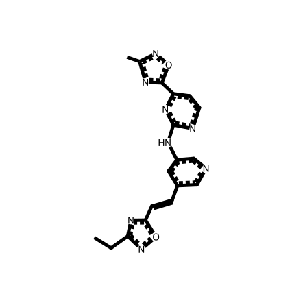 CCc1noc(/C=C/c2cncc(Nc3nccc(-c4nc(C)no4)n3)c2)n1